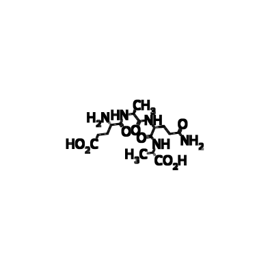 C[C@H](NC(=O)[C@H](CCC(N)=O)NC(=O)[C@H](C)NC(=O)[C@@H](N)CCC(=O)O)C(=O)O